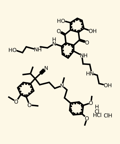 COc1ccc(CCN(C)CCCC(C#N)(c2ccc(OC)c(OC)c2)C(C)C)cc1OC.Cl.Cl.Cl.O=C1c2c(O)ccc(O)c2C(=O)c2c(NCCNCCO)ccc(NCCNCCO)c21